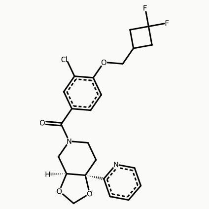 O=C(c1ccc(OCC2CC(F)(F)C2)c(Cl)c1)N1CC[C@@]2(c3ccccn3)OCO[C@H]2C1